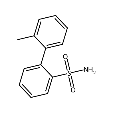 Cc1ccccc1-c1ccccc1S(N)(=O)=O